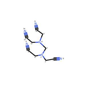 N#CCN(CC#N)CN(CC#N)CC#N